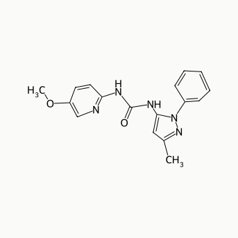 COc1ccc(NC(=O)Nc2cc(C)nn2-c2ccccc2)nc1